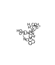 CC(C)(C)N1CCC1COc1nc(N2CCN(C(=O)O)[C@@H](CC#N)C2)c2cnc(-c3cccc4cccc(Cl)c34)c(F)c2n1